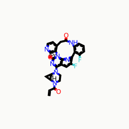 C=CC(=O)N1CCN(c2nc(=O)n3c4nc(c(F)cc24)-c2c(F)cccc2NC(=O)Cc2ccnc(C(C)C)c2-3)[C@@H]2CC21